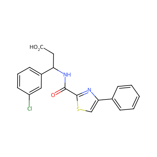 O=C(O)CC(NC(=O)c1nc(-c2ccccc2)cs1)c1cccc(Cl)c1